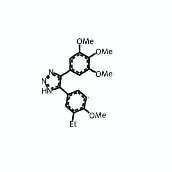 CCc1cc(-c2[nH]nnc2-c2cc(OC)c(OC)c(OC)c2)c[c]c1OC